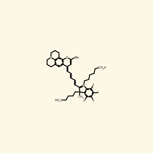 CC(C)(C)C1=C\C(=C/C=C/C=C/C2=[N+](CCCCCC(=O)O)c3c(F)c(F)c(F)c(F)c3C2(C)CCCCS(=O)(=O)O)c2cc3c4c(c2O1)CCCN4CCC3